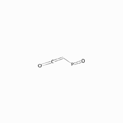 O=C=CP=O